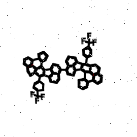 FC(F)(F)C1=CC=C(c2c3c(c(-c4ccccc4-c4ccccc4)c4ccccc24)-c2ccc(-c4ccc5c6c(cccc46)-c4c-5c(-c5ccccc5-c5ccccc5)c5ccccc5c4-c4ccc(C(F)(F)F)cc4)c4cccc-3c24)CC1